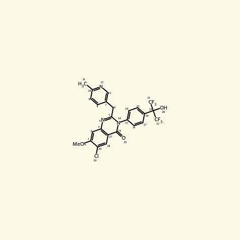 COc1cc2nc(Cc3ccc(C)nc3)n(-c3ccc(C(O)(C(F)(F)F)C(F)(F)F)cc3)c(=O)c2cc1Cl